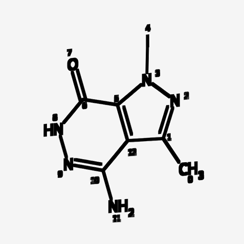 Cc1nn(I)c2c(=O)[nH]nc(N)c12